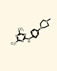 CN1CCN(c2ccc(Nc3nc(C(Cl)(Cl)Cl)nc(C(Cl)(Cl)Cl)n3)cc2)CC1